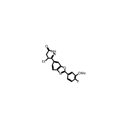 CCC1CC(=O)NN=C1c1ccc2nc(-c3ccc(F)c(OC)c3)oc2c1